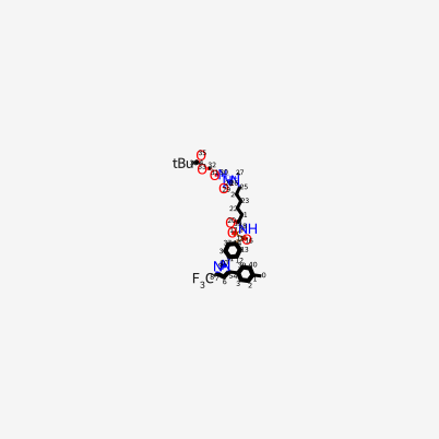 Cc1ccc(-c2cc(C(F)(F)F)nn2-c2ccc(S(=O)(=O)NC(=O)CCCCCN(C)/[N+]([O-])=N/OCOC(=O)C(C)(C)C)cc2)cc1